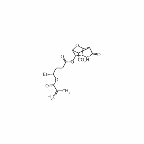 C=C(C)C(=O)OC(CC)CCC(=O)OC1C2OC(=O)C3C2OC1C3C(=O)O